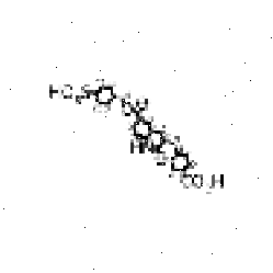 O=C(O)c1ccc(Cc2cc3cc(C(=O)OCc4ccc(S(=O)(=O)O)cc4)ccc3[nH]c2=O)cc1